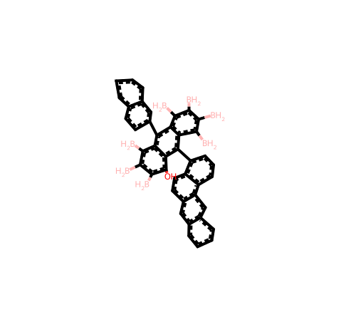 Bc1c(B)c(B)c2c(-c3cccc4c3ccc3cc5ccccc5cc34)c3c(O)c(B)c(B)c(B)c3c(-c3ccc4ccccc4c3)c2c1B